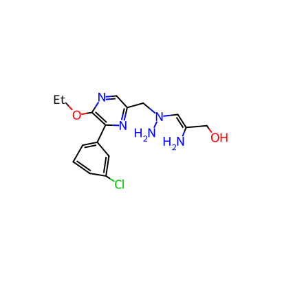 CCOc1ncc(CN(N)/C=C(\N)CO)nc1-c1cccc(Cl)c1